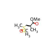 COC(=O)C(C)=C[SH](C)(C)=O